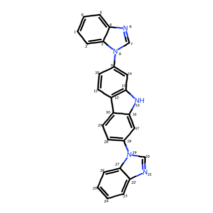 c1ccc2c(c1)ncn2-c1ccc2c(c1)[nH]c1cc(-n3cnc4ccccc43)ccc12